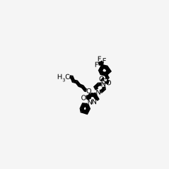 CCCCCCCOc1c(N2CCN(S(=O)(=O)Cc3ccc(C(F)(F)F)cc3)CC2)cnn(-c2ccccc2)c1=O